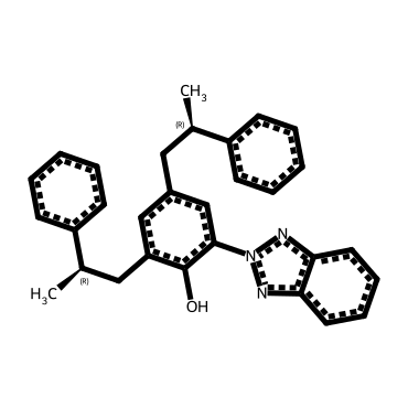 C[C@H](Cc1cc(C[C@@H](C)c2ccccc2)c(O)c(-n2nc3ccccc3n2)c1)c1ccccc1